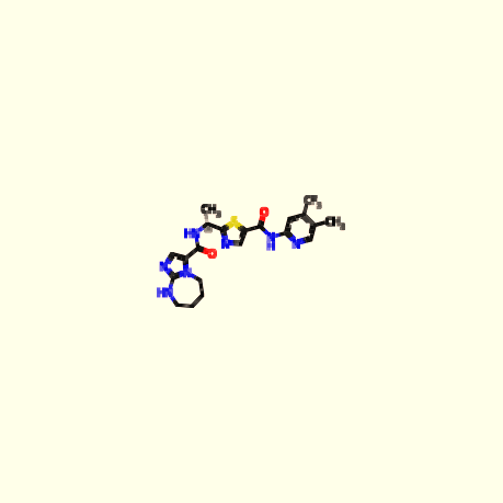 Cc1cnc(NC(=O)c2cnc([C@@H](C)NC(=O)c3cnc4n3CCCCN4)s2)cc1C(F)(F)F